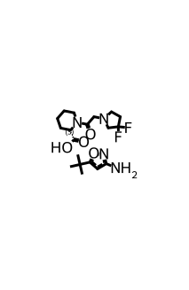 CC(C)(C)c1cc(N)no1.O=C(O)[C@@H]1CCCCN1C(=O)CN1CCC(F)(F)C1